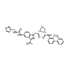 CC(=O)c1nn(CC(=O)[C@@H]2C[C@H](C)C[C@@H]2C(=O)Nc2cccc(-c3ccccc3Cl)c2F)c2ccc(NC(=O)NCc3ccon3)cc12